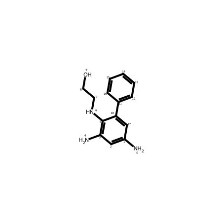 Nc1cc(N)c(NCCO)c(-c2ccccc2)c1